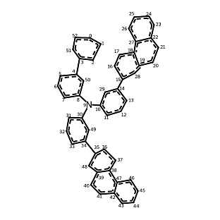 c1ccc(-c2cccc(N(c3cccc(-c4ccc5c(ccc6ccccc65)c4)c3)c3cccc(-c4ccc5c(ccc6ccccc65)c4)c3)c2)cc1